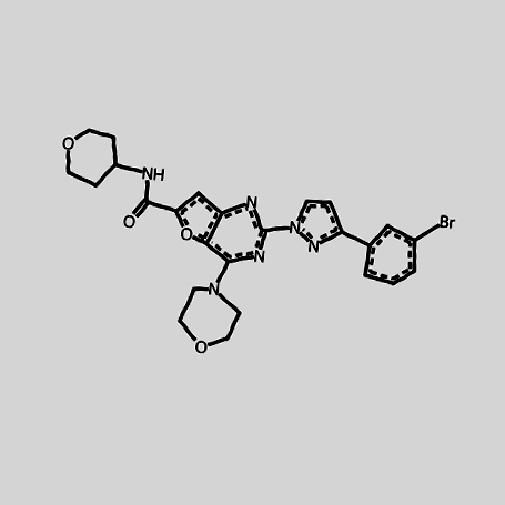 O=C(NC1CCOCC1)c1cc2nc(-n3ccc(-c4cccc(Br)c4)n3)nc(N3CCOCC3)c2o1